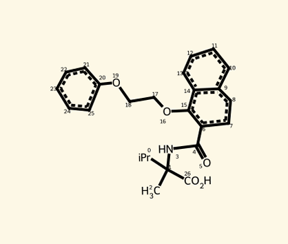 CC(C)C(C)(NC(=O)c1ccc2ccccc2c1OCCOc1ccccc1)C(=O)O